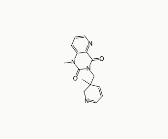 Cn1c(=O)n(CC2(C)C=CC=NC2)c(=O)c2ncccc21